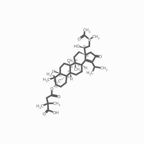 CC(=O)N(C)C[C@H](O)[C@@]12CC[C@]3(C)[C@H](CC[C@@H]4[C@@]5(C)CC[C@H](OC(=O)CC(C)(C)C(=O)O)C(C)(C)[C@@H]5CC[C@]43C)C1=C(C(C)C)C(=O)C2